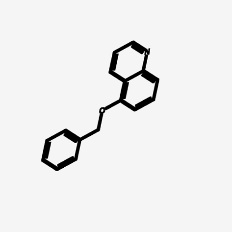 c1ccc(COc2cccc3ncccc23)cc1